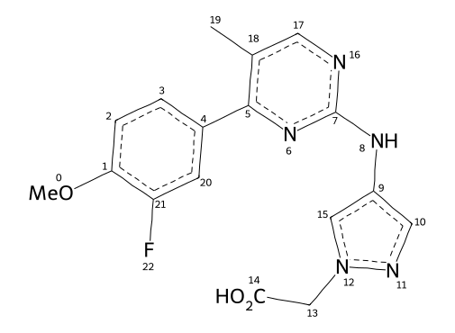 COc1ccc(-c2nc(Nc3cnn(CC(=O)O)c3)ncc2C)cc1F